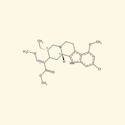 CC[C@@H]1CN2CCc3c([nH]c4cc(Cl)cc(OC)c34)[C@@H]2CC1/C(=C\OC)C(=O)OC